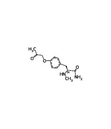 CN[C@@H](Cc1ccc(OCC(C)=O)cc1)C(N)=O